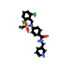 CS(=O)(=O)N(Cc1c(Cl)cccc1Cl)c1ccc(C(=O)NCc2cccnc2)cc1